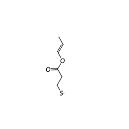 CC=COC(=O)CC[S]